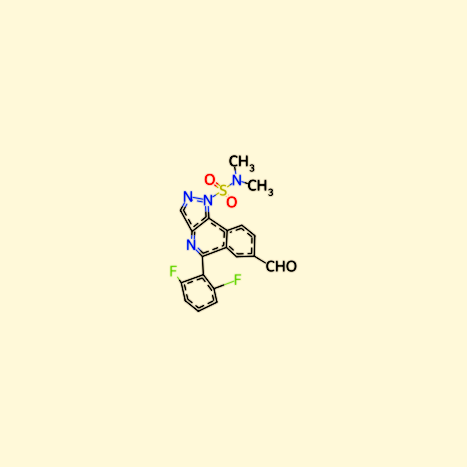 CN(C)S(=O)(=O)n1ncc2nc(-c3c(F)cccc3F)c3cc(C=O)ccc3c21